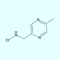 [CH2]CNCc1cnc(C)cn1